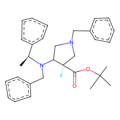 C[C@@H](c1ccccc1)N(Cc1ccccc1)C1CN(Cc2ccccc2)C[C@@]1(F)C(=O)OC(C)(C)C